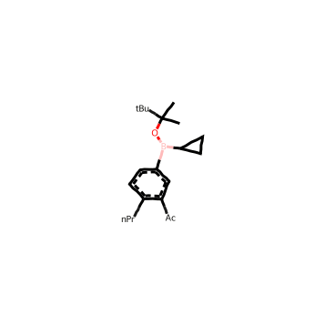 CCCc1ccc(B(OC(C)(C)C(C)(C)C)C2CC2)cc1C(C)=O